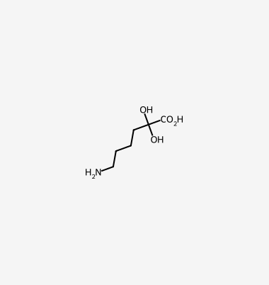 NCCCCC(O)(O)C(=O)O